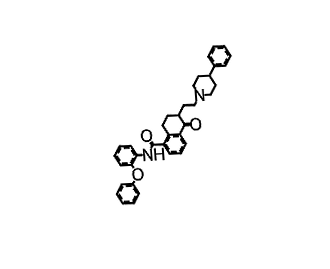 O=C(Nc1ccccc1Oc1ccccc1)c1cccc2c1CCC(CCN1CCC(c3ccccc3)CC1)C2=O